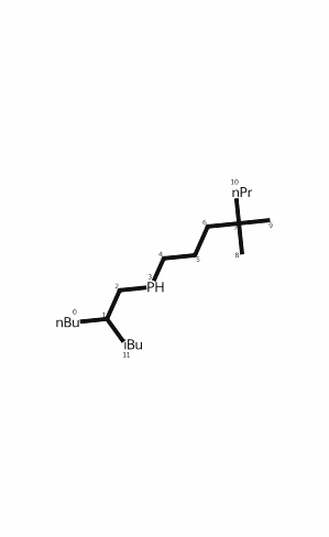 CCCCC(CPCCCC(C)(C)CCC)C(C)CC